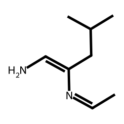 C/C=N\C(=C/N)CC(C)C